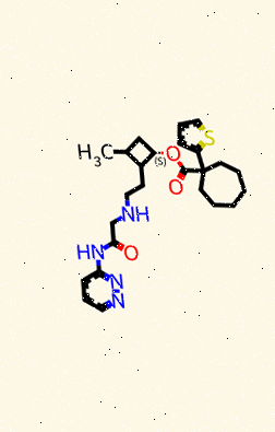 CC1C[C@H](OC(=O)C2(c3cccs3)CCCCCC2)C1CCNCC(=O)Nc1cccnn1